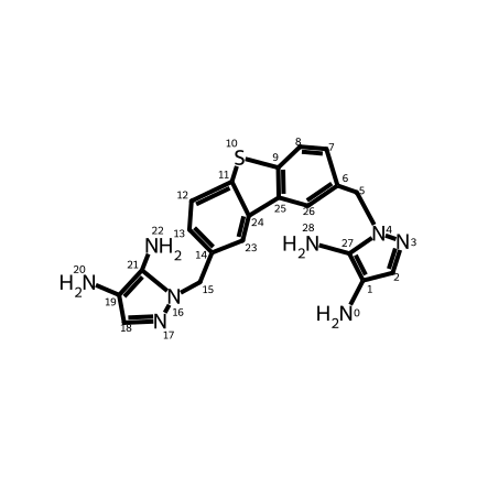 Nc1cnn(Cc2ccc3sc4ccc(Cn5ncc(N)c5N)cc4c3c2)c1N